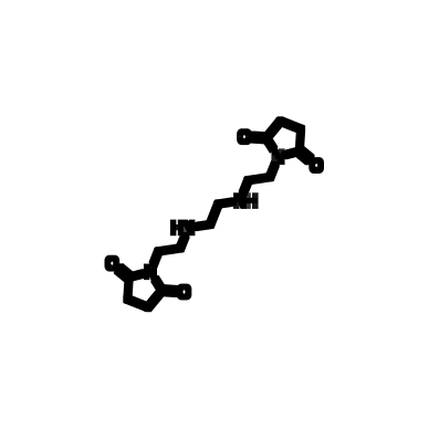 O=C1CCC(=O)N1CCNCCNCCN1C(=O)CCC1=O